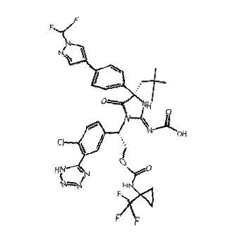 CC(C)(C)C[C@]1(c2ccc(-c3cnn(C(F)F)c3)cc2)N/C(=N\C(=O)O)N([C@H](COC(=O)NC2(C(F)(F)F)CC2)c2ccc(Cl)c(-c3nnn[nH]3)c2)C1=O